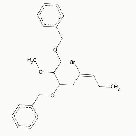 C=C/C=C(/Br)CC(OCc1ccccc1)C(COCc1ccccc1)OC